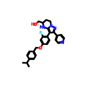 CC(C)c1ccc(COc2ccc(-c3c(-c4ccncc4)nn4c3NC(CO)CC4)c(F)c2)cc1